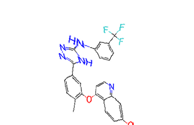 COc1ccc2c(Oc3cc(-c4nnc(Nc5cccc(C(F)(F)F)c5)[nH]4)ccc3C)ccnc2c1